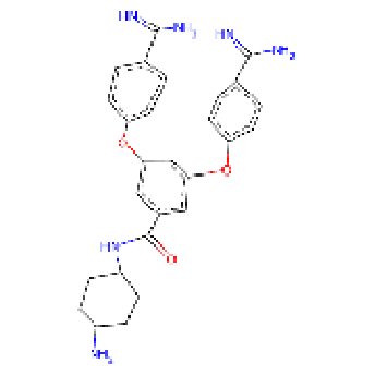 N=C(N)c1ccc(Oc2cc(Oc3ccc(C(=N)N)cc3)cc(C(=O)NC3CCC(N)CC3)c2)cc1